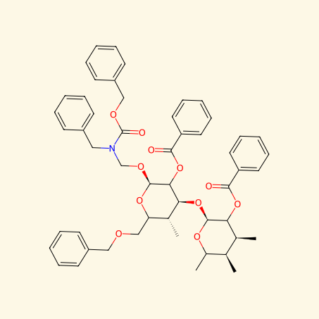 CC1O[C@@H](O[C@@H]2C(OC(=O)c3ccccc3)[C@H](OCN(Cc3ccccc3)C(=O)OCc3ccccc3)OC(COCc3ccccc3)[C@H]2C)C(OC(=O)c2ccccc2)[C@@H](C)[C@H]1C